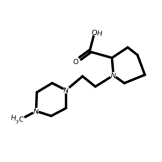 CN1CCN(CCN2CCCCC2C(=O)O)CC1